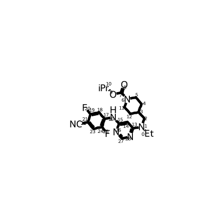 CCN(CC1CCN(C(=O)OC(C)C)CC1)c1cc(Nc2cc(F)c(C#N)cc2F)ncn1